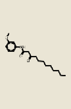 CCCCCCCCCC(=O)CC(=O)Nc1cccc(OC)c1